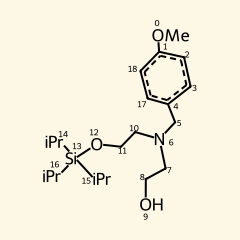 COc1ccc(CN(CCO)CCO[Si](C(C)C)(C(C)C)C(C)C)cc1